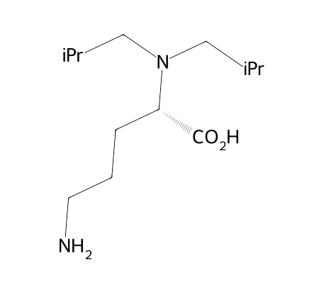 CC(C)CN(CC(C)C)[C@@H](CCCN)C(=O)O